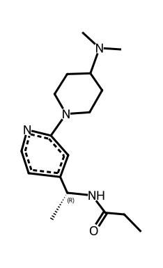 CCC(=O)N[C@H](C)c1ccnc(N2CCC(N(C)C)CC2)c1